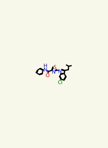 CC(C)Cc1cn(-c2nc(C(=O)Nc3ccccc3)cs2)c2cc(Cl)ccc12